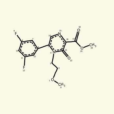 COCCn1c(-c2cc(F)cc(F)c2)cnc(C(=O)OC)c1=O